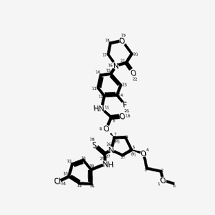 COCCO[C@@H]1C[C@@H](OC(=O)Nc2ccc(N3CCOCC3=O)cc2F)N(C(=S)Nc2ccc(Cl)cc2)C1